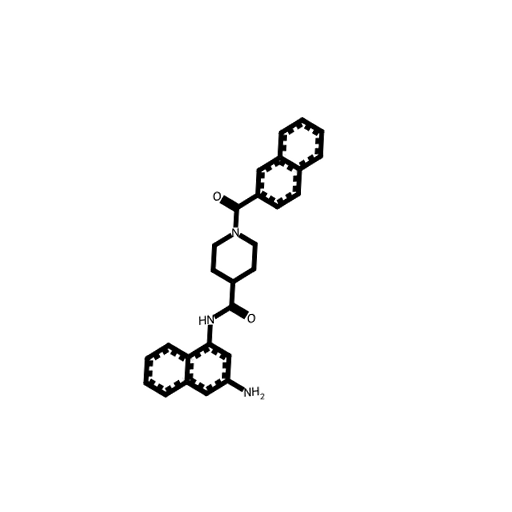 Nc1cc(NC(=O)C2CCN(C(=O)c3ccc4ccccc4c3)CC2)c2ccccc2c1